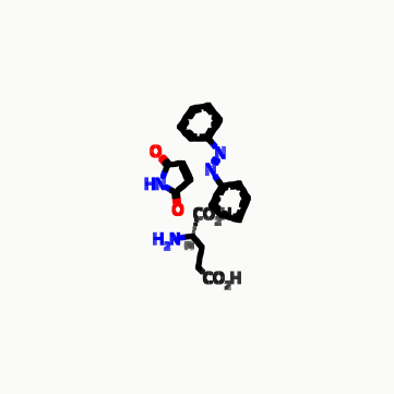 N[C@@H](CCC(=O)O)C(=O)O.O=C1C=CC(=O)N1.c1ccc(N=Nc2ccccc2)cc1